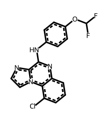 FC(F)Oc1ccc(Nc2nc3cccc(Cl)c3n3ccnc23)cc1